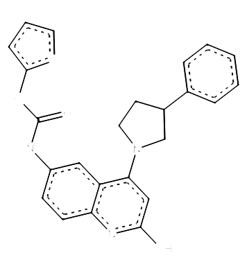 Cc1cc(N2CCC(c3ccccc3)C2)c2cc(NC(=O)Oc3ccco3)ccc2n1